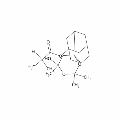 CCC(C)(C)C(=O)OC12CC3CC(C1)C1(CC(O)(C(F)(F)F)OC(C)(C)O1)C(C3)C2